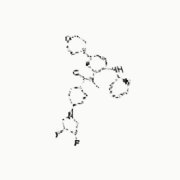 O=C([C@H]1CC[C@H](N2C[C@H](F)[C@@H](F)C2)CC1)N1Cc2cccnc2Nc2ccc(N3CCOCC3)cc21